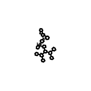 c1ccc(-c2cc(-c3ccccc3)cc(-c3cc(-c4cc(-c5ccccc5)cc(-c5ccccc5)c4)cc(-c4cccc(-n5c(-c6ccc(-n7c8ccccc8c8cc9c(cc87)Cc7ccccc7-9)cc6)nc6ccccc65)c4)c3)c2)cc1